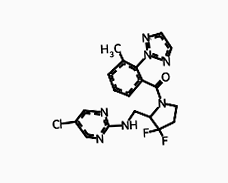 Cc1cccc(C(=O)N2CCC(F)(F)C2CNc2ncc(Cl)cn2)c1-n1nccn1